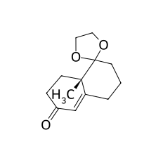 C[C@]12CCC(=O)C=C1CCCC21OCCO1